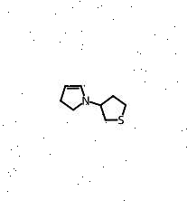 [C]1=CCCN1C1CCSC1